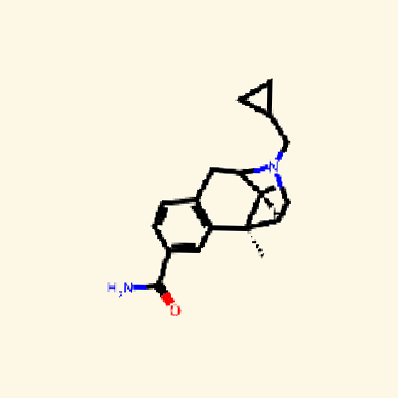 C[C@H]1C2Cc3ccc(C(N)=O)cc3[C@]1(C)CCN2CC1CC1